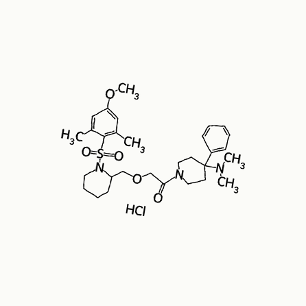 COc1cc(C)c(S(=O)(=O)N2CCCCC2COCC(=O)N2CCC(c3ccccc3)(N(C)C)CC2)c(C)c1.Cl